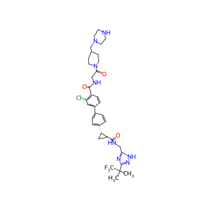 CC(C)(c1n[nH]c(CNC(=O)[C@H]2C[C@@H]2c2ccc(-c3ccc(C(=O)NCC(=O)N4CCC(CN5CCNCC5)CC4)c(Cl)c3)cc2)n1)C(F)(F)F